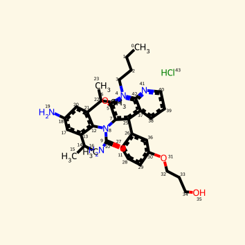 CCCCn1c(=O)c(N(C(N)=O)c2c(C(C)C)cc(N)cc2C(C)C)c(-c2cccc(OCCCO)c2)c2cccnc21.Cl